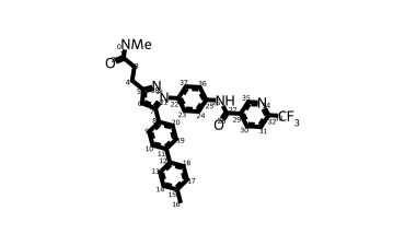 CNC(=O)CCc1cc(-c2ccc(-c3ccc(C)cc3)cc2)n(-c2ccc(NC(=O)c3ccc(C(F)(F)F)nc3)cc2)n1